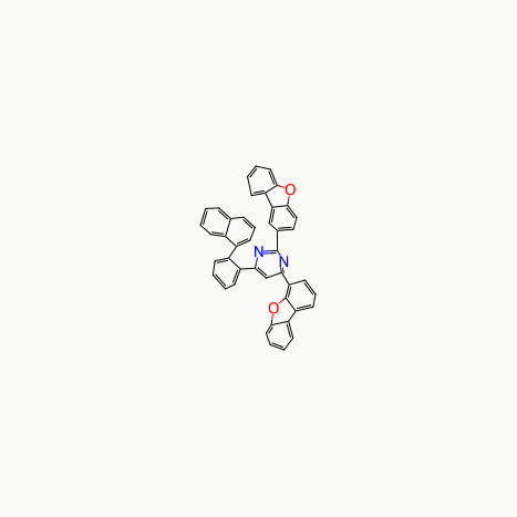 c1ccc(-c2cccc3ccccc23)c(-c2cc(-c3cccc4c3oc3ccccc34)nc(-c3ccc4oc5ccccc5c4c3)n2)c1